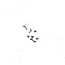 C#C[C@@H]1C[C@@H]([C@@H](O)CC)O[C@H]1n1c(=O)sc2cnc(N)nc21